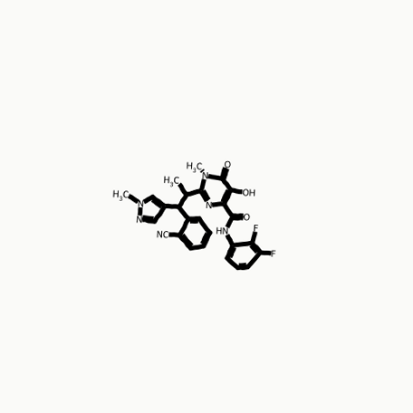 CC(c1nc(C(=O)Nc2cccc(F)c2F)c(O)c(=O)n1C)C(c1cnn(C)c1)c1ccccc1C#N